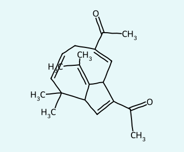 CC(=O)C1=CC2C(C(C)=O)=CC(C2=C(C)C)C(C)(C)C=CC1